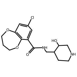 O=C(NCC1CCNCC1O)c1cc(Cl)cc2c1OCCCO2